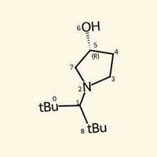 CC(C)(C)C(N1CC[C@@H](O)C1)C(C)(C)C